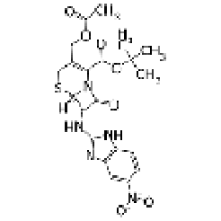 CC(=O)OCC1=C(C(=O)OC(C)(C)C)N2C(=O)C(Nc3nc4cc([N+](=O)[O-])ccc4[nH]3)[C@@H]2SC1